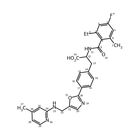 CCc1cc(F)cc(C)c1C(=O)NC(Cc1ccc(-c2ncc(CNc3cc(C)ccn3)o2)cc1)C(=O)O